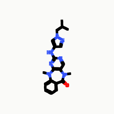 CC(C)Cn1cc(Nc2ncc3c(n2)N(C)c2ccccc2C(=O)N3C)cn1